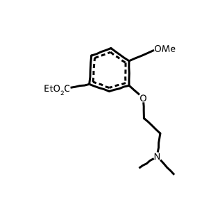 CCOC(=O)c1ccc(OC)c(OCCN(C)C)c1